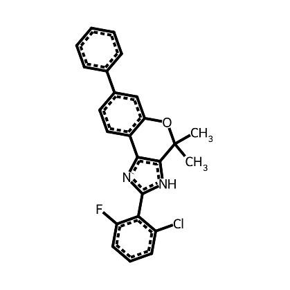 CC1(C)Oc2cc(-c3ccccc3)ccc2-c2nc(-c3c(F)cccc3Cl)[nH]c21